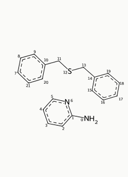 Nc1ccccn1.c1ccc(CSCc2ccccc2)cc1